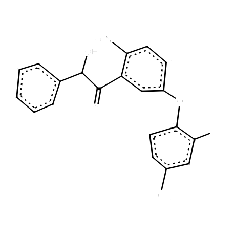 O=C(c1cc(Oc2ccc(C(F)(F)F)cc2Cl)ccc1[N+](=O)[O-])C(O)c1ccccc1